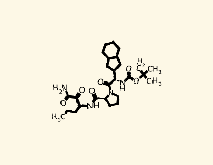 CCCC(NC(=O)[C@@H]1CCCN1C(=O)[C@@H](NC(=O)OC(C)(C)C)C1CC2CCCCC2C1)C(=O)C(N)=O